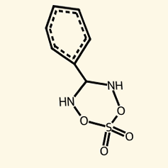 O=S1(=O)ONC(c2ccccc2)NO1